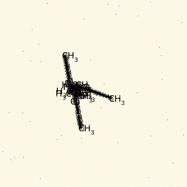 CCCCCCCCCCCCCCCCCCOC(=O)CCc1ccc(OP(Oc2ccc(CCC(=O)OCCCCCCCCCCCCCCCCCC)cc2C(C)(C)CC)Oc2ccc(CCC(=O)OCCCCCCCCCCCCCCCCCC)cc2C(C)(C)CC)c(C(C)(C)CC)c1